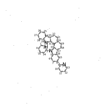 c1ccc(-n2c3ccc(-c4ccccn4)cc3c3ccc4ccc5c6ccccc6[nH]c5c4c32)cc1